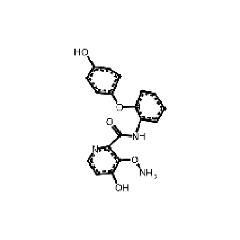 NOc1c(O)ccnc1C(=O)Nc1ccccc1Oc1ccc(O)cc1